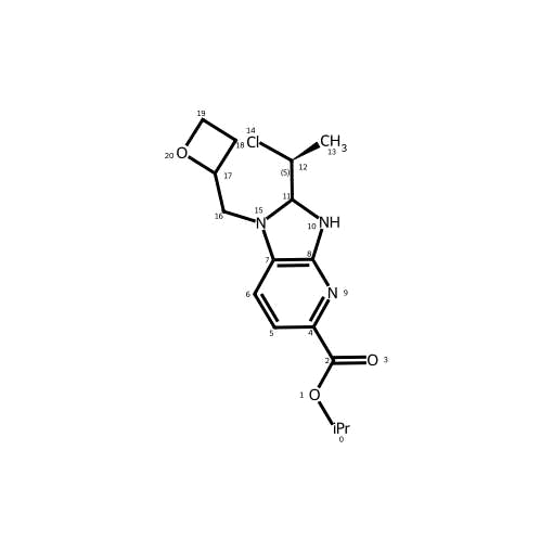 CC(C)OC(=O)c1ccc2c(n1)NC([C@H](C)Cl)N2CC1CCO1